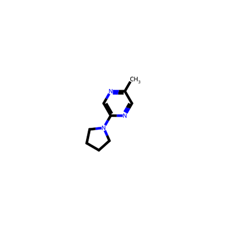 Cc1cnc(N2CCCC2)cn1